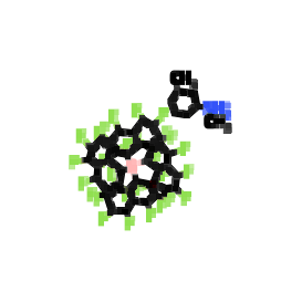 C[NH2+]c1cccc(C)c1.Fc1c(F)c(F)c2c([B-](c3c(F)c(F)c(F)c4c(F)c(F)c(F)c(F)c34)(c3c(F)c(F)c(F)c4c(F)c(F)c(F)c(F)c34)c3c(F)c(F)c(F)c4c(F)c(F)c(F)c(F)c34)c(F)c(F)c(F)c2c1F